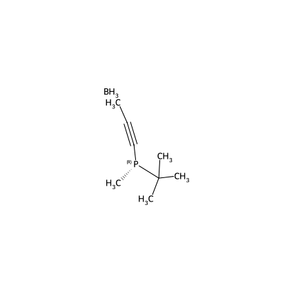 B.CC#C[P@@](C)C(C)(C)C